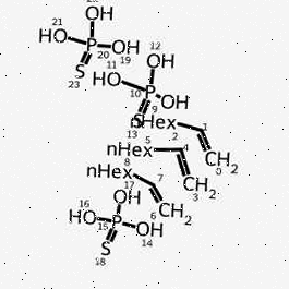 C=CCCCCCC.C=CCCCCCC.C=CCCCCCC.OP(O)(O)=S.OP(O)(O)=S.OP(O)(O)=S